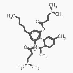 C=C(C)[C@@H]1CCC(C)=C[C@H]1c1c(OC(=O)CCN(C)C)cc(CCCCC)cc1OC(=O)CCN(C)C